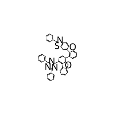 c1ccc(-c2nc(-c3ccccc3)nc(-c3ccc(-c4cccc5oc6cc7nc(-c8ccccc8)sc7cc6c45)c4oc5ccccc5c34)n2)cc1